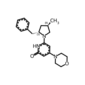 C[C@@H]1C[C@@H](Cc2ccccc2)N(c2cc(N3CCOCC3)cc(=O)[nH]2)C1